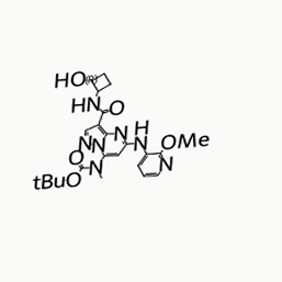 COc1ncccc1Nc1cc(N(C)C(=O)OC(C)(C)C)n2ncc(C(=O)NC3CC[C@H]3O)c2n1